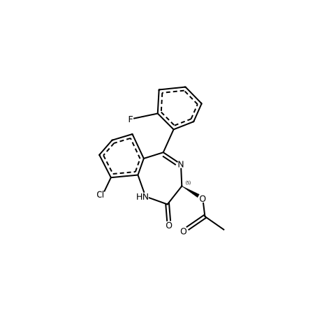 CC(=O)O[C@@H]1N=C(c2ccccc2F)c2cccc(Cl)c2NC1=O